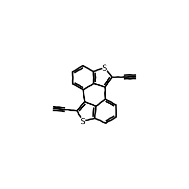 C#Cc1sc2cccc3c4c(C#C)sc5cccc(c1c23)c54